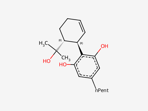 CCCCCc1cc(O)c([C@@H]2C=CCC[C@H]2C(C)(C)O)c(O)c1